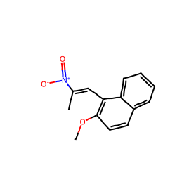 COc1ccc2ccccc2c1C=C(C)[N+](=O)[O-]